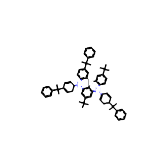 CC(C)(C)c1ccc2c(c1)B1c3cc(C(C)(C)c4ccccc4)ccc3N(C3C=CC(C(C)(C)c4ccccc4)=CC3)c3cc(C(C)(C)C)cc(c31)N2C1=CCC(C(C)(C)c2ccccc2)C=C1